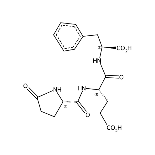 O=C(O)CC[C@H](NC(=O)[C@@H]1CCC(=O)N1)C(=O)N[C@@H](Cc1ccccc1)C(=O)O